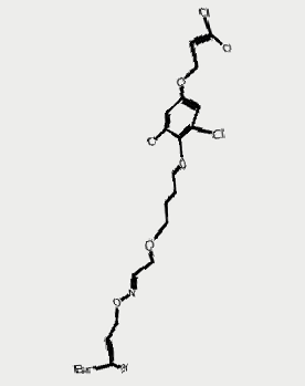 ClC(Cl)=CCOc1cc(Cl)c(OCCCCOCC=NOCC=C(Br)Br)c(Cl)c1